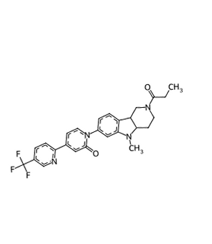 CCC(=O)N1CCC2C(C1)c1ccc(-n3ccc(-c4ccc(C(F)(F)F)cn4)cc3=O)cc1N2C